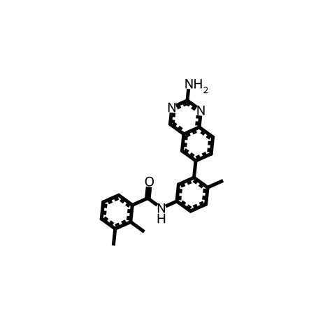 Cc1ccc(NC(=O)c2cccc(C)c2C)cc1-c1ccc2nc(N)ncc2c1